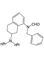 CCCN(CCC)C1CCc2cccc(N(C=O)Cc3ccccc3)c2C1